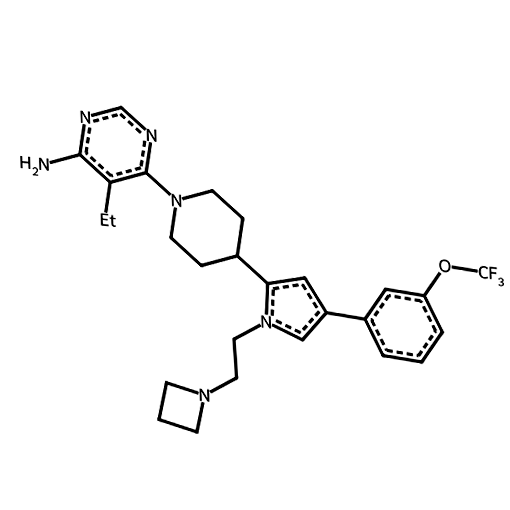 CCc1c(N)ncnc1N1CCC(c2cc(-c3cccc(OC(F)(F)F)c3)cn2CCN2CCC2)CC1